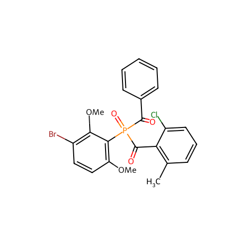 COc1ccc(Br)c(OC)c1P(=O)(C(=O)c1ccccc1)C(=O)c1c(C)cccc1Cl